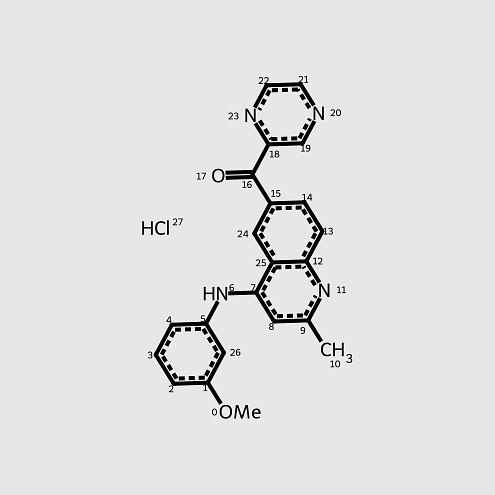 COc1cccc(Nc2cc(C)nc3ccc(C(=O)c4cnccn4)cc23)c1.Cl